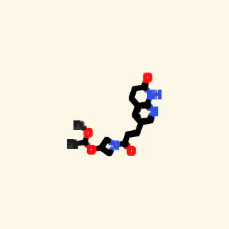 CCOC(CC)OC1CN(C(=O)C=Cc2cnc3c(c2)CCC(=O)N3)C1